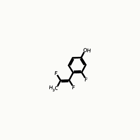 CC(F)=C(F)c1ccc(O)cc1F